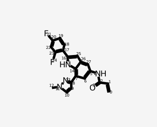 C=CC(=O)Nc1cc(-c2ccn(C)n2)c2[nH]c(-c3ccc(F)cc3F)cc2c1